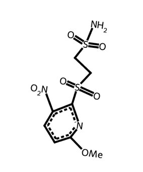 COc1ccc([N+](=O)[O-])c(S(=O)(=O)CCS(N)(=O)=O)n1